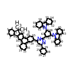 CC1(C)c2ccccc2-c2cc3c4ccccc4c4cc(-c5cc(-c6ccccc6)nc(-c6cc(-n7c8ccccc8c8ccccc87)cc(-n7c8ccccc8c8ccccc87)c6)n5)ccc4c3cc21